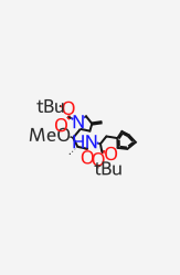 C=C1CC([C@H](OC)[C@@H](C)C(=O)NC(Cc2ccccc2)C(=O)OC(C)(C)C)N(C(=O)OC(C)(C)C)C1